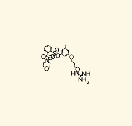 Cc1cc(OCCCONC(=N)N)cc(OS(=O)(=O)c2ccccc2S(=O)(=O)N2CCOCC2)c1